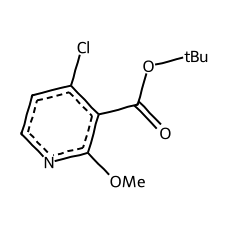 COc1nccc(Cl)c1C(=O)OC(C)(C)C